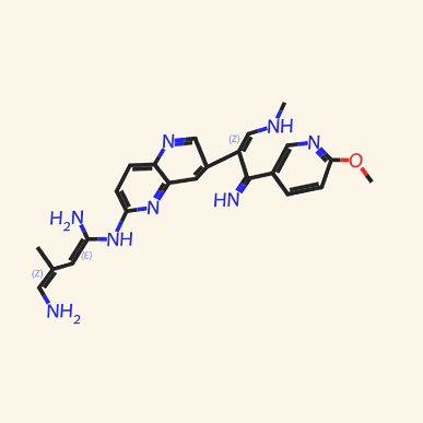 CN/C=C(\C(=N)c1ccc(OC)nc1)c1cnc2ccc(N/C(N)=C/C(C)=C\N)nc2c1